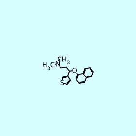 CN(C)CCC(Oc1cccc2ccccc12)c1ccsc1